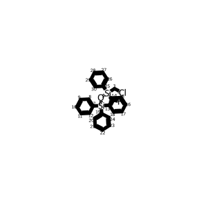 FC[Si](CCl)(O[Si](c1ccccc1)(c1ccccc1)c1ccccc1)c1ccccc1